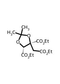 CCOC(=O)C[C@]1(C(=O)OCC)OC(C)(C)O[C@H]1C(=O)OCC